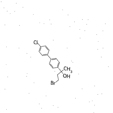 CC(O)(CCBr)c1ccc(-c2ccc(Cl)cc2)cc1